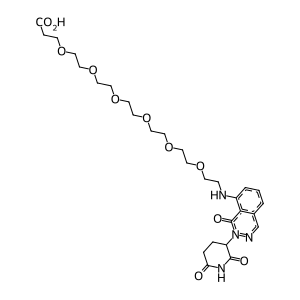 O=C(O)CCOCCOCCOCCOCCOCCOCCNc1cccc2cnn(C3CCC(=O)NC3=O)c(=O)c12